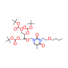 CCCCOCCn1c(=O)c(C)cn(CO[C@H](COC(=O)OC(C)(C)C)C(COC(=O)OC(C)(C)C)OC(=O)OC(C)(C)C)c1=O